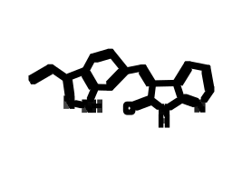 C=Cc1n[nH]c2cc(C=C3C(=O)Nc4ncccc43)ccc12